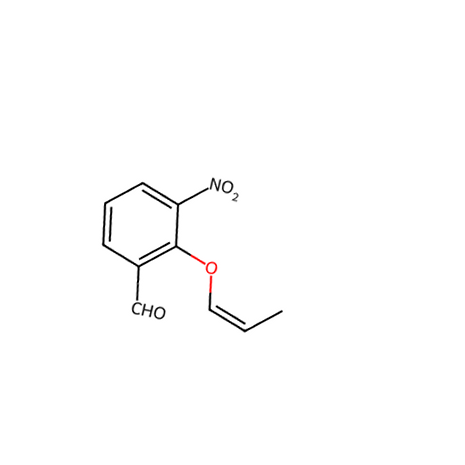 C/C=C\Oc1c(C=O)cccc1[N+](=O)[O-]